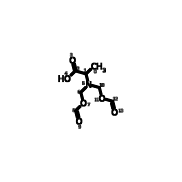 CC(C(=O)O)N(COC=O)COC=O